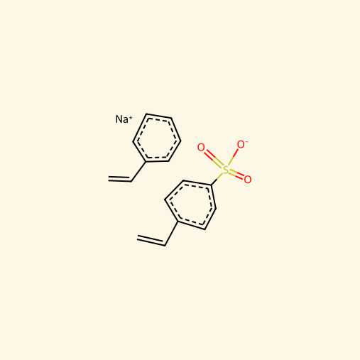 C=Cc1ccc(S(=O)(=O)[O-])cc1.C=Cc1ccccc1.[Na+]